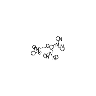 O=C1c2ccccc2C(=O)N1CCCCOc1cc(CN(Cc2ccccn2)Cc2ccccn2)cc(CN(Cc2ccccn2)Cc2ccccn2)c1